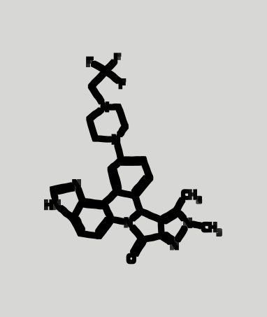 Cc1c2c(nn1C)C(=O)N1c3ccc4[nH]cnc4c3-c3cc(N4CCN(CC(F)(F)F)CC4)ccc3C21